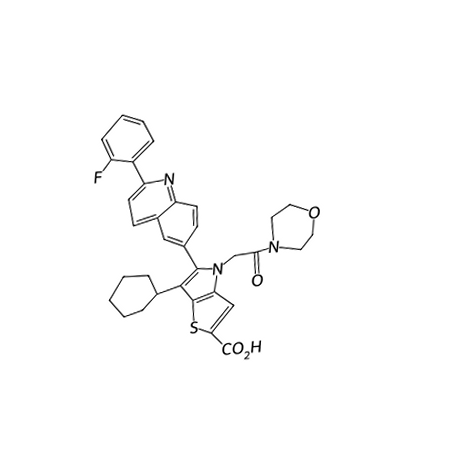 O=C(O)c1cc2c(s1)c(C1CCCCC1)c(-c1ccc3nc(-c4ccccc4F)ccc3c1)n2CC(=O)N1CCOCC1